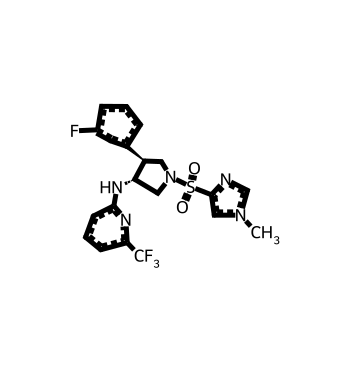 Cn1cnc(S(=O)(=O)N2C[C@H](Nc3cccc(C(F)(F)F)n3)[C@@H](c3cccc(F)c3)C2)c1